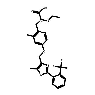 CCO[C@@H](Cc1ccc(OCc2nc(-c3ccccc3C(F)(F)F)oc2C)cc1C)C(=O)O